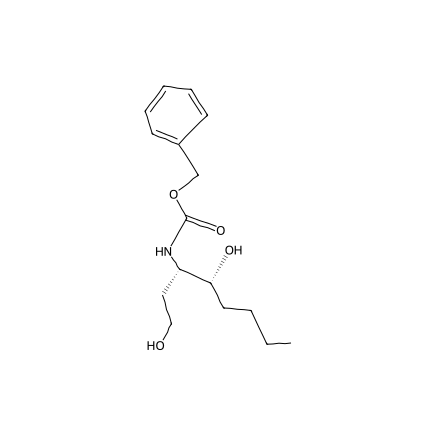 CCCC[C@@H](O)[C@H](CCO)NC(=O)OCc1ccccc1